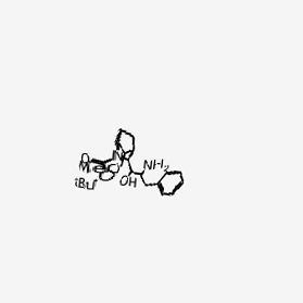 COCC1C2CCC1N(C(=O)OC(C)(C)C)C2C(O)C(N)Cc1ccccc1